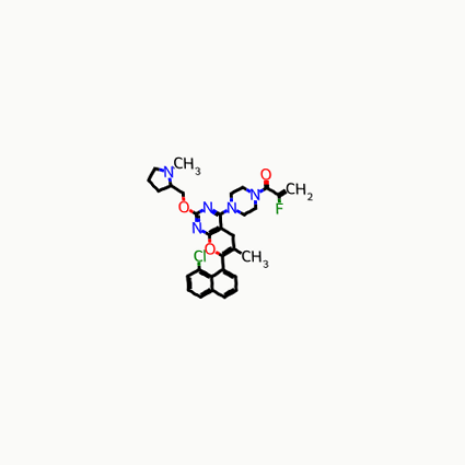 C=C(F)C(=O)N1CCN(c2nc(OCC3CCCN3C)nc3c2CC(C)=C(c2cccc4cccc(Cl)c24)O3)CC1